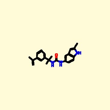 C=C(C)c1cccc(C(C)(C)NC(=O)Nc2ccc3[nH]c(C)cc3c2)c1